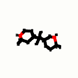 CC1CCC(C(C)(C)C2CCOC(C)C2)CO1